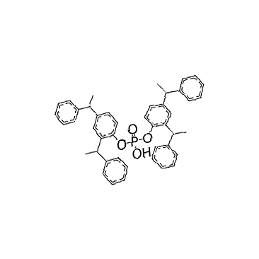 CC(c1ccccc1)c1ccc(OP(=O)(O)Oc2ccc(C(C)c3ccccc3)cc2C(C)c2ccccc2)c(C(C)c2ccccc2)c1